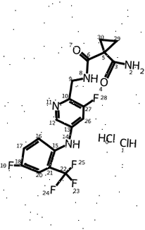 Cl.Cl.NC(=O)C1(C(=O)NCc2ncc(Nc3ccc(F)cc3C(F)(F)F)cc2F)CC1